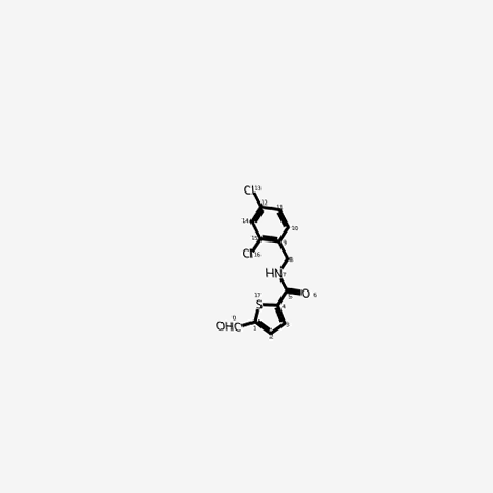 O=Cc1ccc(C(=O)NCc2ccc(Cl)cc2Cl)s1